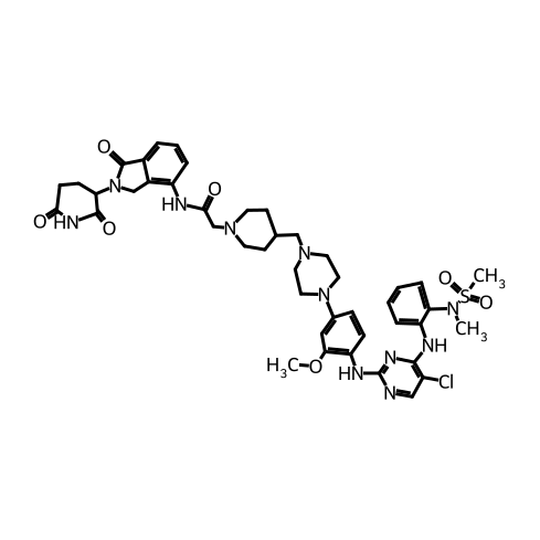 COc1cc(N2CCN(CC3CCN(CC(=O)Nc4cccc5c4CN(C4CCC(=O)NC4=O)C5=O)CC3)CC2)ccc1Nc1ncc(Cl)c(Nc2ccccc2N(C)S(C)(=O)=O)n1